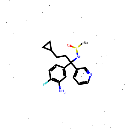 CC(C)(C)[S+]([O-])NC(CCC1CC1)(c1cccnc1)c1ccc(F)c(N)c1